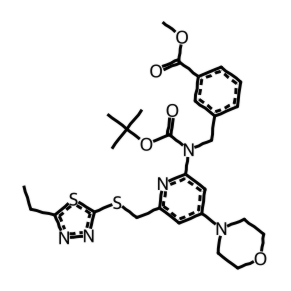 CCc1nnc(SCc2cc(N3CCOCC3)cc(N(Cc3cccc(C(=O)OC)c3)C(=O)OC(C)(C)C)n2)s1